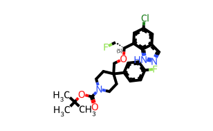 CC(C)(C)OC(=O)N1CCC(CO[C@H](CF)c2cc(Cl)cc3cn[nH]c23)(c2ccc(F)cc2)CC1